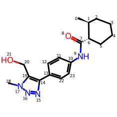 C[C@H]1CCCC[C@@H]1C(=O)Nc1ccc(-c2nnn(C)c2CO)cc1